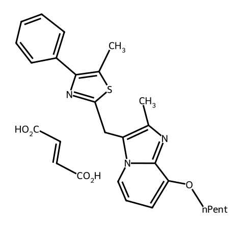 CCCCCOc1cccn2c(Cc3nc(-c4ccccc4)c(C)s3)c(C)nc12.O=C(O)C=CC(=O)O